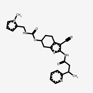 CC(CC(=O)Nc1sc2c(c1C#N)CCC(OC(=O)NCc1cccn1C)C2)c1ccccn1